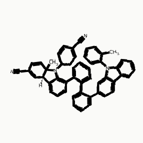 Cc1ccccc1-n1c2ccccc2c2ccc(-c3ccccc3-c3ccccc3-c3cccc4c3N(C3C=CC(C#N)=CC3)C3(C)C=CC(C#N)=C[C@H]43)cc21